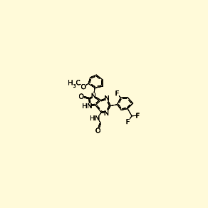 COc1ccccc1-n1c(=O)[nH]c2c(NC=O)nc(-c3cc(C(F)F)ccc3F)nc21